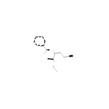 CCOC(=O)C(CCC#N)N=C(C)c1ccccc1